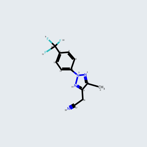 Cc1nn(-c2ccc(C(F)(F)F)cc2)nc1CC#N